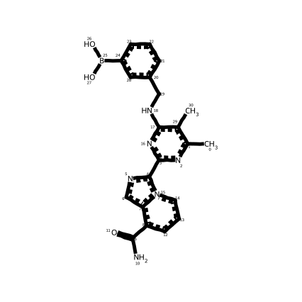 Cc1nc(-c2ncc3c(C(N)=O)cccn23)nc(NCc2cccc(B(O)O)c2)c1C